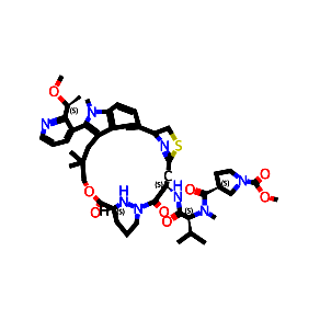 COC(=O)N1CC[C@H](C(=O)N(C)[C@H](C(=O)N[C@H]2CC3=NC(CS3)c3ccc4c(c3)c(c(-c3cccnc3[C@H](C)OC)n4C)CC(C)(C)COC(=O)[C@@H]3CCCN(N3)C2=O)C(C)C)C1